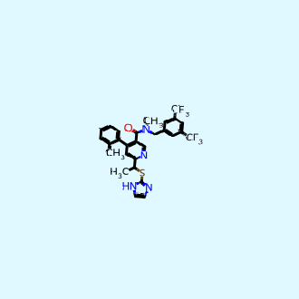 Cc1ccccc1-c1cc(C(C)Sc2ncc[nH]2)ncc1C(=O)N(C)Cc1cc(C(F)(F)F)cc(C(F)(F)F)c1